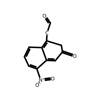 O=CCC1=c2cccc([N+](=O)[O-])c2=CC(=O)C1